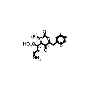 CC(C)(C)OC(=O)NC(Cc1ccccc1)C(=O)CC(CCN)C(=O)O